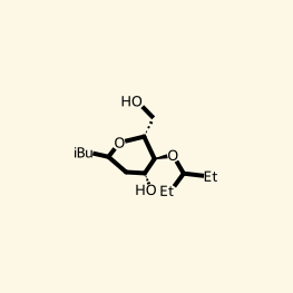 CCC(CC)O[C@H]1[C@H](O)CC(C(C)CC)O[C@@H]1CO